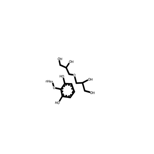 CCCCCCOc1c(O)cccc1O.OCC(O)COCC(O)CO